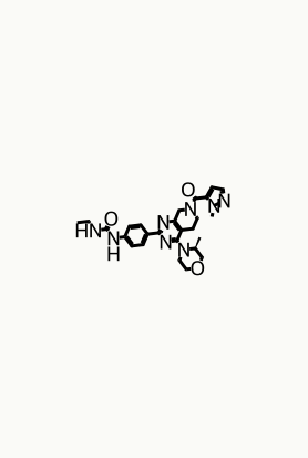 CCNC(=O)Nc1ccc(-c2nc3c(c(N4CCOC[C@@H]4C)n2)CCN(C(=O)c2ccnn2C)C3)cc1